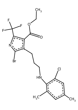 CCOC(=O)c1c(C(F)(F)F)nc(Br)n1CCCNc1c(C)cc(C)cc1Cl